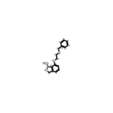 OB1OCc2cccc(OCCOCc3ccccc3)c21